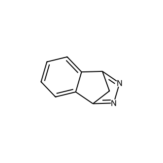 c1ccc2c(c1)C1=NN=C2C1